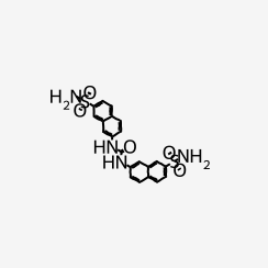 NS(=O)(=O)c1ccc2ccc(NC(=O)Nc3ccc4ccc(S(N)(=O)=O)cc4c3)cc2c1